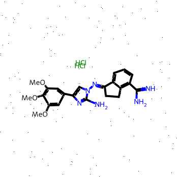 COc1cc(-c2cn(N=C3CCc4c(C(=N)N)cccc43)c(N)n2)cc(OC)c1OC.Cl.Cl